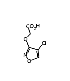 O=C(O)COc1nocc1Cl